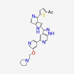 CC(=O)c1ccc(-c2nccc3[nH]c(-c4n[nH]c5cnc(-c6cncc(OCCN7CCCC7)c6)cc45)cc23)s1